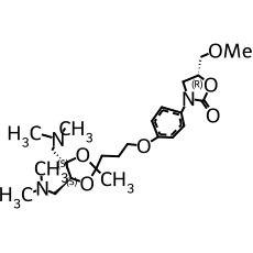 COC[C@H]1CN(c2ccc(OCCCC3(C)O[C@@H](CN(C)C)[C@H](CN(C)C)O3)cc2)C(=O)O1